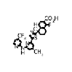 Cc1cc(Nc2cc(C(F)(F)F)ccn2)nc(-c2cnc(C3(O)CCCc4c3ccc(C(=O)O)c4F)s2)c1